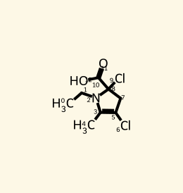 CCN1C(C)=C(Cl)CC1(Cl)C(=O)O